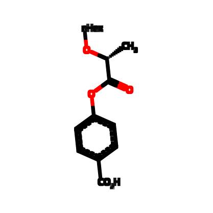 CCCCCCO[C@H](C)C(=O)Oc1ccc(C(=O)O)cc1